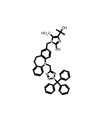 CCCc1nc(C(C)(C)O)c(C(=O)O)n1Cc1ccc2c(c1)CCc1ccccc1N2Cc1nnn(C(c2ccccc2)(c2ccccc2)c2ccccc2)n1